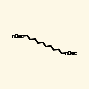 CCCCCC[CH]CCCCCCCCCCCCCCCCCCCCCCC